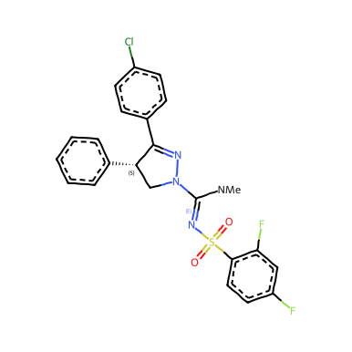 CN/C(=N\S(=O)(=O)c1ccc(F)cc1F)N1C[C@H](c2ccccc2)C(c2ccc(Cl)cc2)=N1